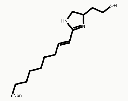 CCCCCCCCCCCCCCCC=CC1=NC(CCO)CN1